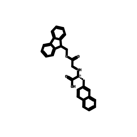 O=C(CN[C@H](Cc1ccc2ccccc2c1)C(=O)O)OCC1c2ccccc2-c2ccccc21